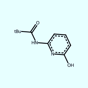 CC(C)(C)C(=O)Nc1cccc(O)n1